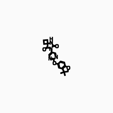 CC1(C)COc2ccc(Oc3ncc(N4C(=O)NC5(CCC5)C4=O)cn3)cc21